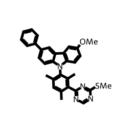 COc1ccc2c(c1)c1cc(-c3ccccc3)ccc1n2-c1c(C)cc(C)c(-c2ncnc(SC)n2)c1C